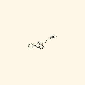 [N-]=[N+]=NCCCCn1cccc(OCc2ccccc2)c1=O